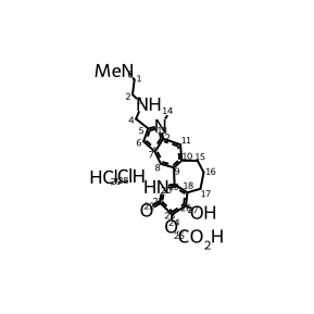 CNCCNCc1cc2cc3c(cc2n1C)CCCc1c-3[nH]c(=O)c(OC(=O)O)c1O.Cl.Cl